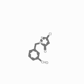 O=Cc1cccc(Cn2sc(Cl)cc2=O)c1